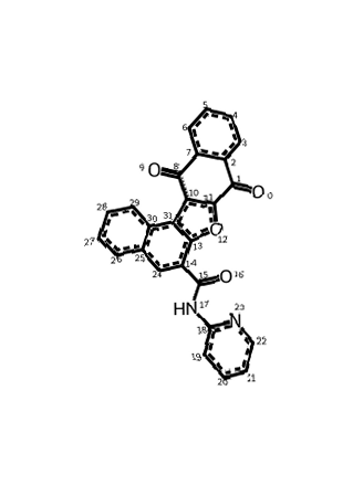 O=C1c2ccccc2C(=O)c2c1oc1c(C(=O)Nc3ccccn3)cc3ccccc3c21